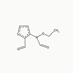 CCON(C=O)c1ccsc1C=O